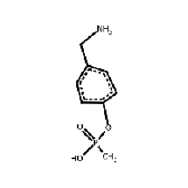 CP(=O)(O)Oc1ccc(CN)cc1